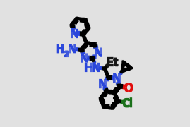 CCC(Nc1ncc(-c2ccccn2)c(N)n1)c1nc2cccc(Cl)c2c(=O)n1C1CC1